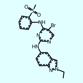 CCn1cc2cc(Nc3ncc(Br)c(Nc4ccccc4S(C)(=O)=O)n3)ccc2n1